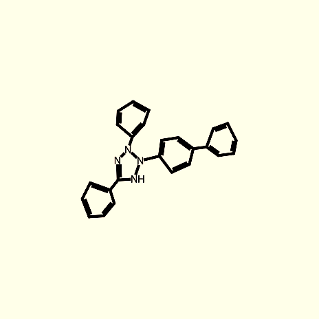 c1ccc(C2=NN(c3ccccc3)N(c3ccc(-c4ccccc4)cc3)N2)cc1